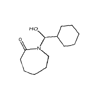 O=C1CCCCCN1C(O)C1CCCCC1